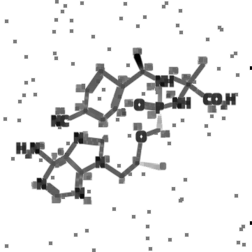 C[C@H](Cn1cnc2c(N)ncnc21)OC[P@](=O)(N[C@H](C)c1ccc(C#N)cc1)NC(C)(C)C(=O)O